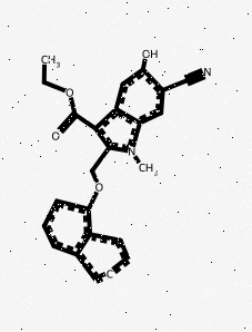 CCOC(=O)c1c(COc2cccc3ccccc23)n(C)c2cc(C#N)c(O)cc12